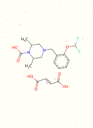 CC1CN(Cc2ccccc2OC(F)F)CC(C)N1C(=O)O.O=C(O)/C=C/C(=O)O